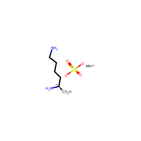 NCCCC[C@H](N)C(=O)O.O=S(=O)([O-])[O-].[Mn+2]